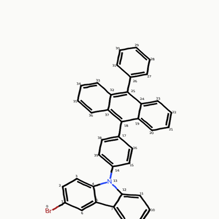 Brc1ccc2c(c1)c1ccccc1n2-c1ccc(-c2c3ccccc3c(-c3ccccc3)c3ccccc23)cc1